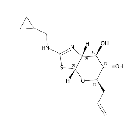 C=CC[C@H]1O[C@@H]2SC(NCC3CC3)=N[C@@H]2[C@@H](O)[C@@H]1O